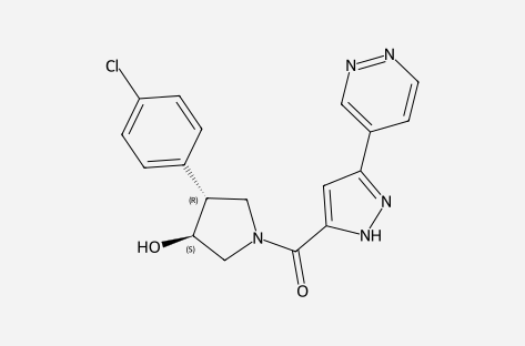 O=C(c1cc(-c2ccnnc2)n[nH]1)N1C[C@@H](O)[C@H](c2ccc(Cl)cc2)C1